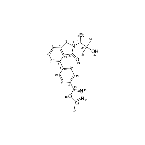 CCC(N1Cc2cccc(-c3ccc(-c4nnc(C)o4)cc3)c2C1=O)C(C)(C)O